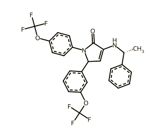 C[C@@H](NC1=CC(c2cccc(OC(F)(F)F)c2)N(c2ccc(OC(F)(F)F)cc2)C1=O)c1ccccc1